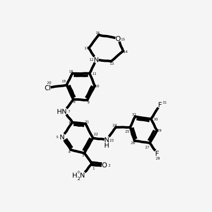 NC(=O)c1cnc(Nc2ccc(N3CCOCC3)cc2Cl)cc1NCc1cc(F)cc(F)c1